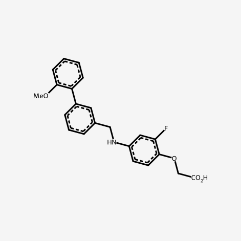 COc1ccccc1-c1cccc(CNc2ccc(OCC(=O)O)c(F)c2)c1